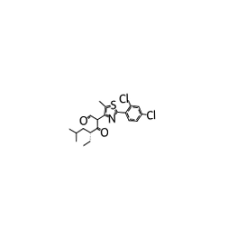 CC[C@H](CC(C)C)C(=O)C(C=O)c1nc(-c2ccc(Cl)cc2Cl)sc1C